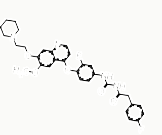 COc1cc2c(Oc3ccc(NC(=O)NC(=O)Cc4ccc(F)cc4)cc3F)ccnc2cc1OCCN1CCCCC1